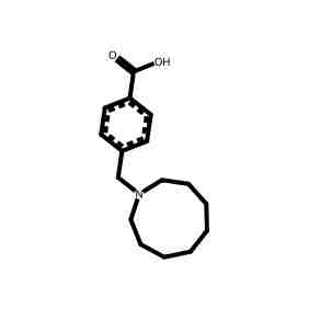 O=C(O)c1ccc(CN2CCCCCCCC2)cc1